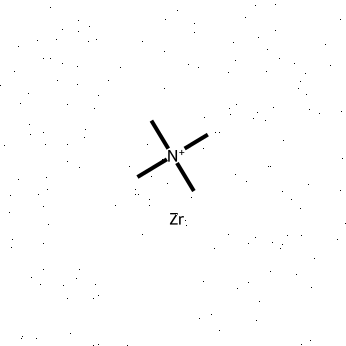 C[N+](C)(C)C.[Zr]